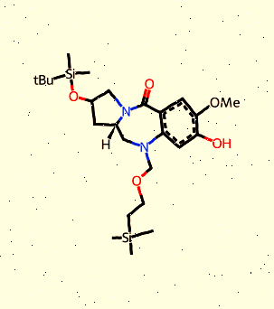 COc1cc2c(cc1O)N(COCC[Si](C)(C)C)C[C@@H]1CC(O[Si](C)(C)C(C)(C)C)CN1C2=O